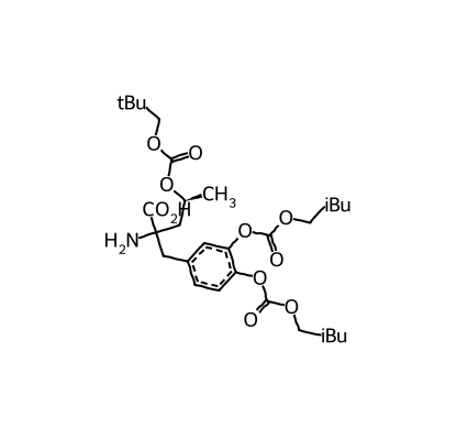 CCC(C)COC(=O)Oc1ccc(CC(N)(C[C@H](C)OC(=O)OCC(C)(C)C)C(=O)O)cc1OC(=O)OCC(C)CC